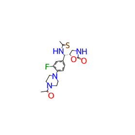 CC(=O)N1CCN(c2ccc(C(NC(C)=S)[C@@H]3CNC(=O)O3)cc2F)CC1